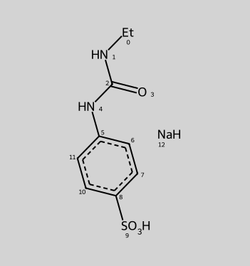 CCNC(=O)Nc1ccc(S(=O)(=O)O)cc1.[NaH]